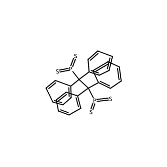 S=P(=S)C(c1ccccc1)(c1ccccc1)C(c1ccccc1)(c1ccccc1)P(=S)=S